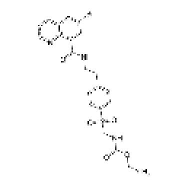 CCOC(=O)NCS(=O)(=O)c1ccc(CCNC(=O)c2cc(Br)cc3cccnc23)cc1